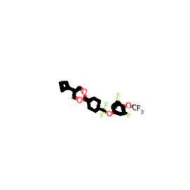 Fc1cc(OC(F)(F)C2CCC(C3OCC(C4CCC4)CO3)CC2)cc(F)c1OC(F)(F)F